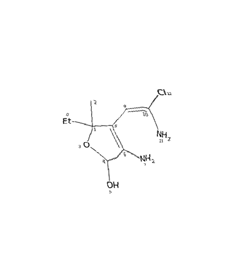 CCC1(C)OC(O)C(N)=C1/C=C(\N)Cl